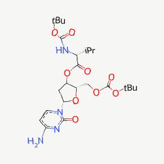 CC(C)[C@@H](NC(=O)OC(C)(C)C)C(=O)OC1C[C@@H](n2ccc(N)nc2=O)O[C@H]1COC(=O)OC(C)(C)C